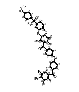 CC(C)Oc1ccc(C(c2ccc(Oc3c(F)c(F)c(C(=O)c4ccc(Oc5ccc(C(=O)c6c(F)c(F)c(C(C)C)c(F)c6F)cc5)cc4)c(F)c3F)cc2)(C(F)(F)F)C(F)(F)F)cc1